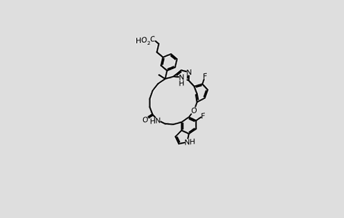 CC1(c2cccc(CCC(=O)O)c2)CCCCC(=O)NCCc2c(c(F)cc3[nH]ccc23)Oc2ccc(F)c(c2)-c2ncc1[nH]2